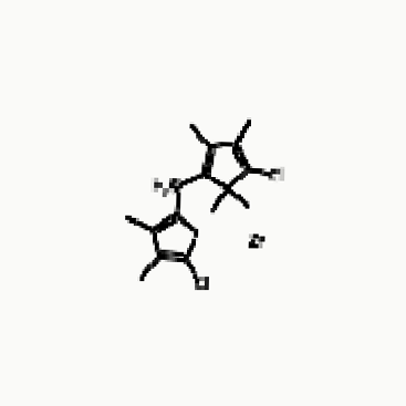 CC1=C(Cl)CC([SiH2]C2=C(C)C(C)=C(Cl)C2(C)C)=C1C.[Zr]